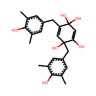 Cc1cc(CC2=CC(O)(Cc3cc(C)c(O)c(C)c3)C(O)=CC2(O)O)cc(C)c1O